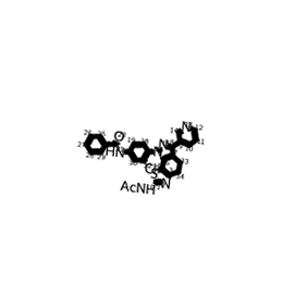 CC(=O)Nc1nc2c(s1)-c1c(c(-c3cccnc3)nn1-c1ccc(NC(=O)c3ccccc3)cc1Cl)CC2